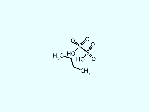 CCCC.O=S(=O)(O)S(=O)(=O)O